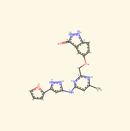 Cc1cc(Nc2cc(-c3ccco3)[nH]n2)nc(COc2ccc3[nH][nH]c(=O)c3c2)n1